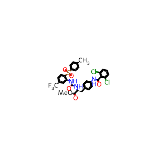 COC(=O)[C@H](Cc1ccc(NC(=O)c2c(Cl)cccc2Cl)cc1)NC(=O)Nc1cc(C(F)(F)F)ccc1S(=O)(=O)c1ccc(C)cc1